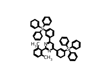 Cc1cccc(C)c1-c1nc(C2=CCCC([Si](c3ccccc3)(c3ccccc3)c3ccccc3)=C2)cc(-c2cccc([Si](C3=CCCC=C3)(c3ccccc3)C3C=CC=CC3)c2)n1